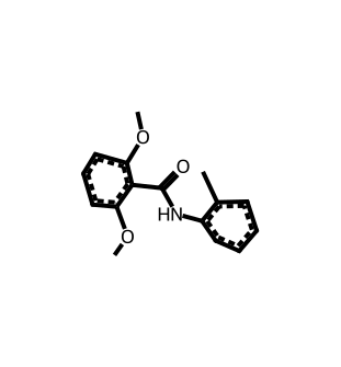 COc1cccc(OC)c1C(=O)Nc1ccccc1C